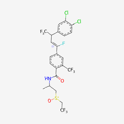 CC(C[S+]([O-])CC(F)(F)F)NC(=O)c1ccc(/C(F)=C/C(c2ccc(Cl)c(Cl)c2)C(F)(F)F)cc1C(F)(F)F